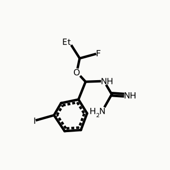 CCC(F)OC(NC(=N)N)c1cccc(I)c1